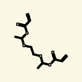 C=CC(=O)OC(C)OCCOC(C)OC(=O)C=C